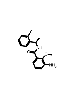 COc1c(N)cccc1C(=O)NC(C)c1ccccc1Cl